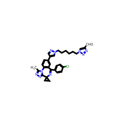 Cc1nnc2n1-c1ccc(-c3cnn(CCCCCCn4cc(C=O)nn4)c3)cc1C(c1ccc(Cl)cc1)=NC21CC1